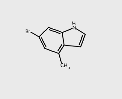 Cc1cc(Br)cc2[nH]ccc12